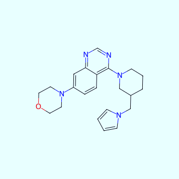 c1ccn(CC2CCCN(c3ncnc4cc(N5CCOCC5)ccc34)C2)c1